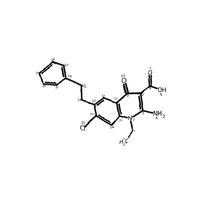 CCn1c(N)c(C(=O)O)c(=O)c2cc(CCc3ccccc3)c(Cl)cc21